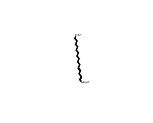 CCCCCC=CCC=CCCCCCCCCCCOC(C)=O